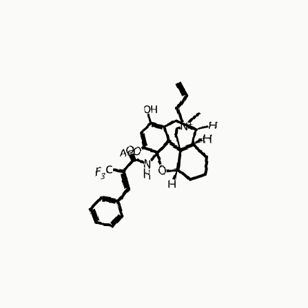 C=CC[N+]1(C)CC[C@]23C4C5=C(O)C=C(OC(C)=O)C4(NC(=O)C(=Cc4ccccc4)C(F)(F)F)O[C@H]2CCC[C@H]3[C@H]1C5